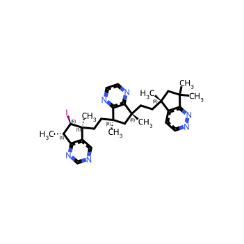 C[C@H]1c2ncncc2[C@](C)(CC[C@]2(C)C[C@@](C)(CC[C@]3(C)CC(C)(C)c4nnccc43)c3nccnc32)[C@@H]1I